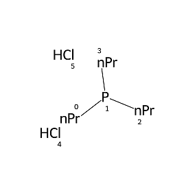 CCCP(CCC)CCC.Cl.Cl